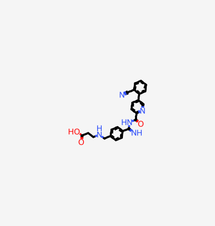 N#Cc1ccccc1-c1ccc(C(=O)NC(=N)c2ccc(CNCCC(=O)O)cc2)nc1